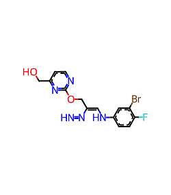 N=N/C(=C\Nc1ccc(F)c(Br)c1)COc1nccc(CO)n1